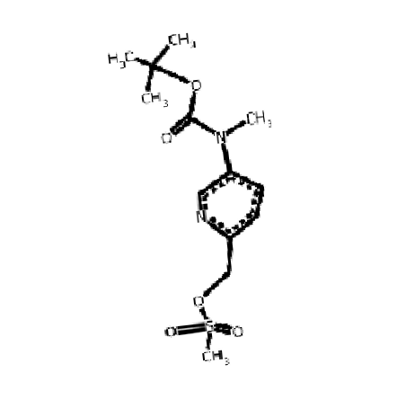 CN(C(=O)OC(C)(C)C)c1ccc(COS(C)(=O)=O)nc1